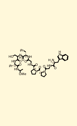 COC(C)NC(=O)[C@@H](NC(=O)C(CO)NC(=O)[C@H](CC(C)C)NC(=O)CNC(=O)[C@@H]1CCCN1C(=O)[C@H]1CCCN1C(=O)CNC(=O)[C@@H](N)Cc1c[nH]c2ccccc12)C(C)C